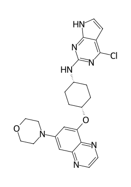 Clc1nc(N[C@H]2CC[C@@H](Oc3cc(N4CCOCC4)cc4nccnc34)CC2)nc2[nH]ccc12